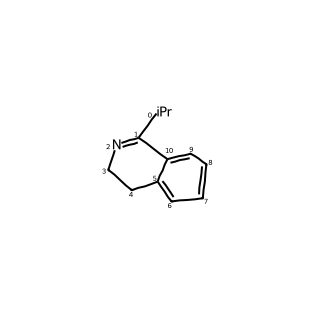 CC(C)C1=NCCc2ccccc21